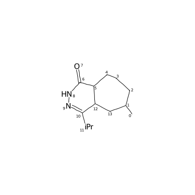 CC1CCCC2C(=O)NN=C(C(C)C)C2C1